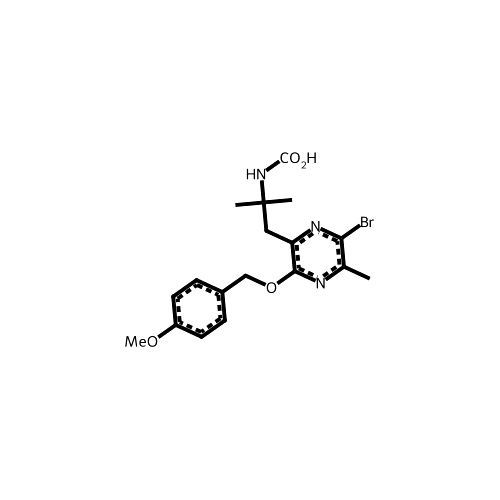 COc1ccc(COc2nc(C)c(Br)nc2CC(C)(C)NC(=O)O)cc1